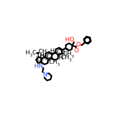 C=C(C)[C@@H]1CC[C@]2(NCCN3CCCCC3)CC[C@]3(C)[C@H](CC[C@@H]4[C@@]5(C)CC=C(C6=CCC(CO)(C(=O)OCc7ccccc7)CC6)C(C)(C)[C@@H]5CC[C@]43C)[C@@H]12